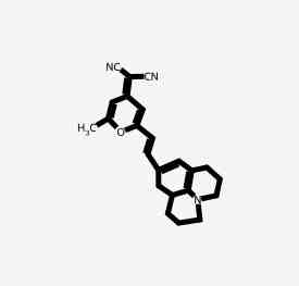 CC1=CC(=C(C#N)C#N)C=C(/C=C/C2=CC3=C4C(CCCN4CCC3)C2)O1